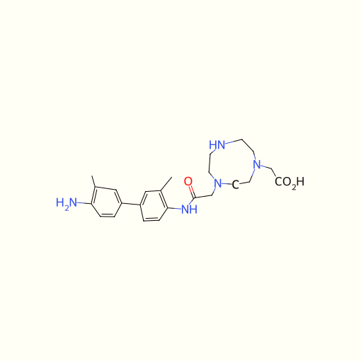 Cc1cc(-c2ccc(NC(=O)CN3CCNCCN(CC(=O)O)CC3)c(C)c2)ccc1N